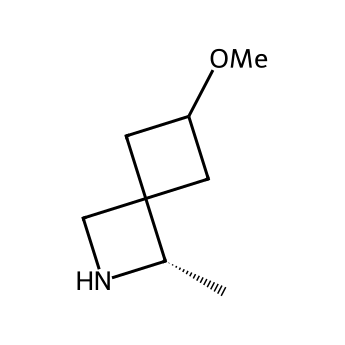 COC1CC2(CN[C@H]2C)C1